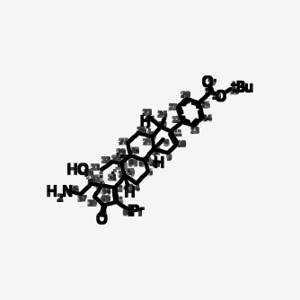 CC(C)C1=C2[C@H]3CC[C@@H]4[C@@]5(C)CC=C(c6ccc(C(=O)OC(C)(C)C)cc6)C(C)(C)[C@@H]5CC[C@@]4(C)[C@]3(C)CC[C@@]2([C@@H](O)CN)CC1=O